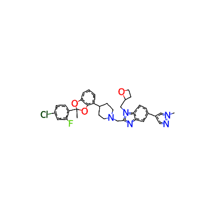 Cn1cc(-c2ccc3c(c2)nc(CN2CCC(c4cccc5c4OC(C)(c4ccc(Cl)cc4F)O5)CC2)n3CC2CCO2)cn1